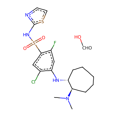 CN(C)[C@@H]1CCCCC[C@H]1Nc1cc(F)c(S(=O)(=O)Nc2nccs2)cc1Cl.O=CO